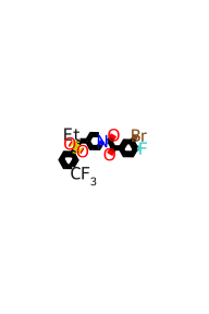 CCC(C1CCN(C(=O)C(=O)c2ccc(F)c(Br)c2)CC1)S(=O)(=O)c1cccc(C(F)(F)F)c1